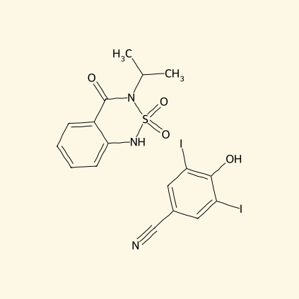 CC(C)N1C(=O)c2ccccc2NS1(=O)=O.N#Cc1cc(I)c(O)c(I)c1